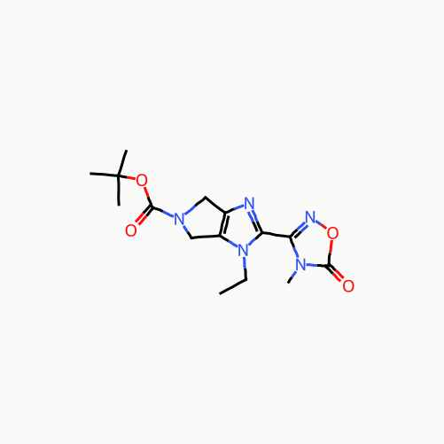 CCn1c(-c2noc(=O)n2C)nc2c1CN(C(=O)OC(C)(C)C)C2